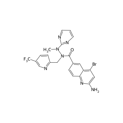 CN(c1ncccn1)N(Cc1ccc(C(F)(F)F)cn1)C(=O)c1ccc2nc(N)cc(Br)c2c1